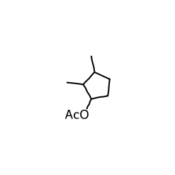 CC(=O)OC1CCC(C)C1C